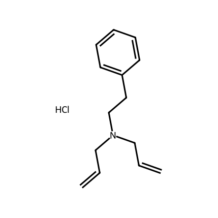 C=CCN(CC=C)CCc1ccccc1.Cl